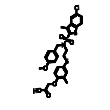 COc1ccc(CN(CCSc2ccc(OCC(=O)O)c(C)c2)S(=O)(=O)c2sc3ccc(Cl)cc3c2C)cc1